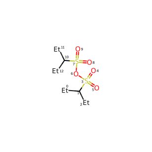 CCC(CC)S(=O)(=O)OS(=O)(=O)C(CC)CC